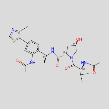 CC(=O)Nc1cc(-c2scnc2C)ccc1[C@H](C)NC(=O)[C@@H]1C[C@@H](O)CN1C(=O)[C@@H](NC(C)=O)C(C)(C)C